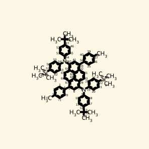 Cc1ccc(-c2cc(N(c3ccc(C(C)(C)C)cc3)c3ccc([Si](C)(C)C)cc3)c3ccc4c(-c5ccc(C)cc5)cc(N(c5ccc(C(C)(C)C)cc5)c5ccc([Si](C)(C)C)cc5)c5ccc2c3c45)cc1